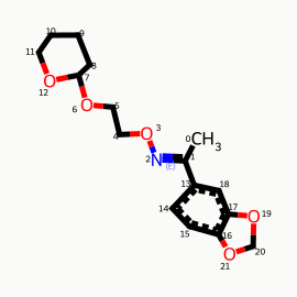 C/C(=N\OCCOC1CCCCO1)c1ccc2c(c1)OCO2